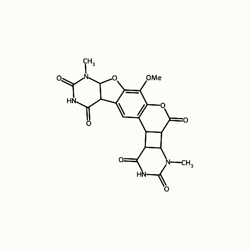 COc1c2c(cc3c1OC(=O)C1C3C3C(=O)NC(=O)N(C)C31)C1C(=O)NC(=O)N(C)C1O2